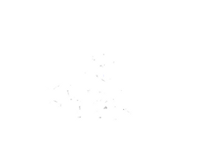 O=C1C[C@@H]2[C@@H](/C=C/C(=O)C3(F)CCCC3)[C@H](OC(=O)c3ccccc3)C[C@@H]2O1